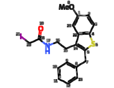 COc1ccc2sc(Cc3ccccc3)c(CCNC(=O)CI)c2c1